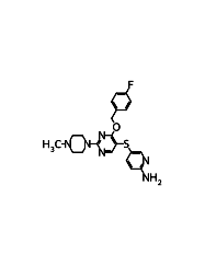 CN1CCN(c2ncc(Sc3ccc(N)nc3)c(OCc3ccc(F)cc3)n2)CC1